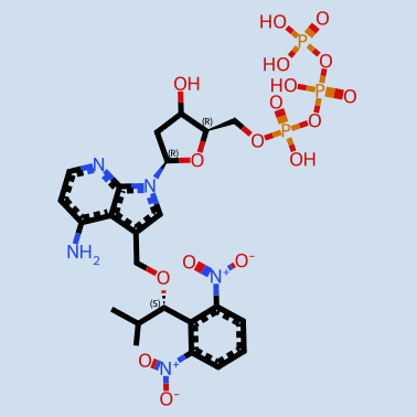 CC(C)[C@H](OCc1cn([C@H]2CC(O)[C@@H](COP(=O)(O)OP(=O)(O)OP(=O)(O)O)O2)c2nccc(N)c12)c1c([N+](=O)[O-])cccc1[N+](=O)[O-]